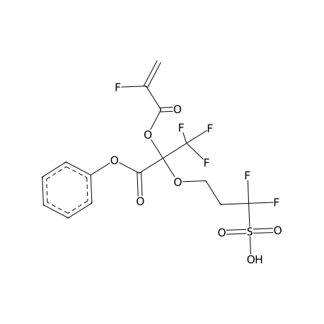 C=C(F)C(=O)OC(OCCC(F)(F)S(=O)(=O)O)(C(=O)Oc1ccccc1)C(F)(F)F